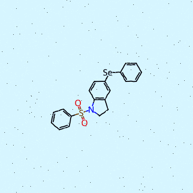 O=S(=O)(c1ccccc1)N1CCc2cc([Se]c3ccccc3)ccc21